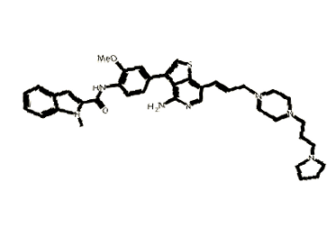 COc1cc(-c2csc3c(C=CCN4CCN(CCCN5CCCC5)CC4)cnc(N)c23)ccc1NC(=O)c1cc2ccccc2n1C